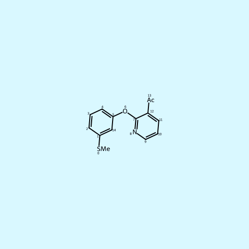 CSc1cccc(Oc2ncccc2C(C)=O)c1